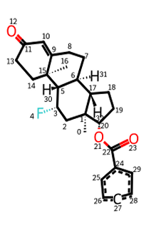 C[C@]12C[C@H](F)[C@H]3[C@@H](CCC4=CC(=O)CC[C@@]43C)[C@@H]1CC[C@@H]2OC(=O)c1ccccc1